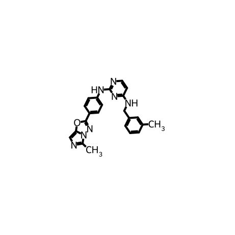 Cc1cccc(CNc2ccnc(Nc3ccc(-c4nn5c(C)ncc5o4)cc3)n2)c1